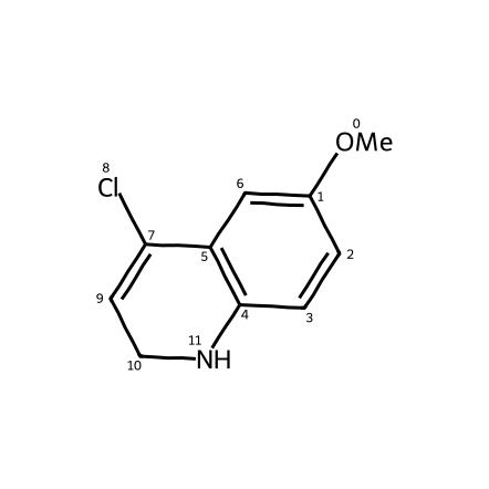 COc1ccc2c(c1)C(Cl)=CCN2